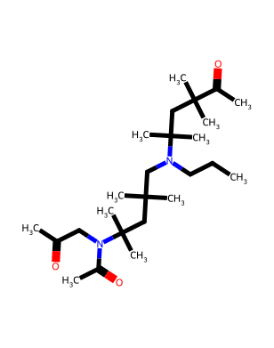 CCCN(CC(C)(C)CC(C)(C)N(CC(C)=O)C(C)=O)C(C)(C)CC(C)(C)C(C)=O